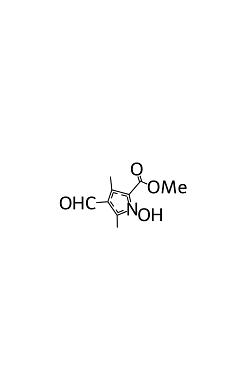 COC(=O)c1c(C)c(C=O)c(C)n1O